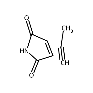 C#CC.O=C1C=CC(=O)N1